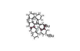 CC(C)(C)c1cc(-c2cccc3cccc(-c4ccccc4N(c4ccccc4)c4cccc5sc6ccccc6c45)c23)cc(C(C)(C)C)c1